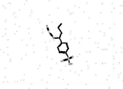 CCCC(N=C=O)c1ccc(S(=O)(=O)O)cc1